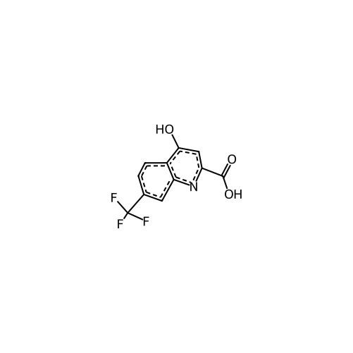 O=C(O)c1cc(O)c2ccc(C(F)(F)F)cc2n1